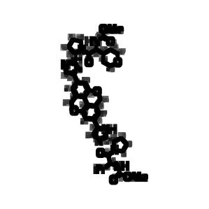 COC(=O)NC(C(=O)N1CCC[C@H]1c1ncc(-c2cc3c4c(c2)OCc2cc(-c5cnc([C@@H]6CCCN6C(=O)[C@@H](NC(=O)OC)C6CCOCC6)[nH]5)cc(c2-4)OC3)[nH]1)C(C)C